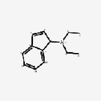 C[CH2][Al]([CH2]C)[CH]1C=Cc2ccccc21